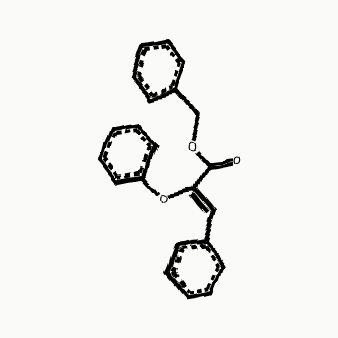 O=C(OCc1ccccc1)C(=Cc1ccccc1)Oc1ccccc1